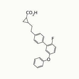 O=C(O)C1CC1CCc1ccc(-c2cc(Oc3ccccc3)ccc2F)cc1